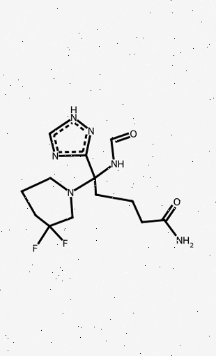 NC(=O)CCCC(NC=O)(c1nc[nH]n1)N1CCCC(F)(F)C1